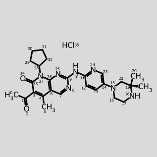 CC(=O)c1c(C)c2cnc(Nc3ccc(N4CCNC(C)(C)C4)cn3)nc2n(C2CCCC2)c1=O.Cl